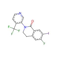 O=C1c2cc(I)c(F)cc2CCN1c1cnccc1C(F)(F)F